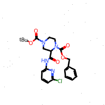 CC(C)(C)OC(=O)N1CCN(C(=O)OCc2ccccc2)C(C(=O)Nc2cccc(Cl)n2)C1